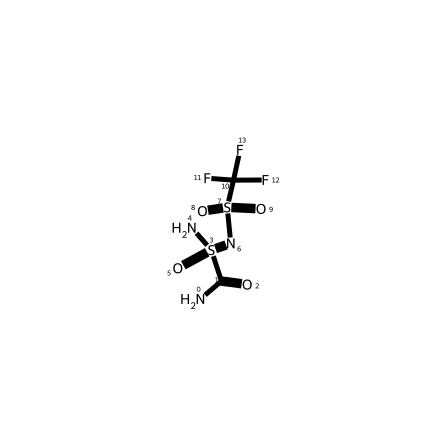 NC(=O)S(N)(=O)=NS(=O)(=O)C(F)(F)F